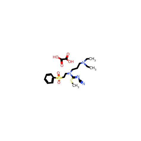 CCN(CC)CCCN(CCS(=O)(=O)c1ccccc1)C(=NC#N)SC.O=C(O)C(=O)O